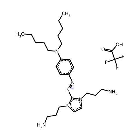 CCCCCN(CCCCC)c1ccc(/N=N/c2n(CCCN)cc[n+]2CCCN)cc1.O=C(O)C(F)(F)F